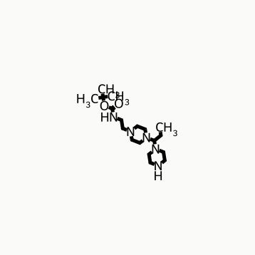 CCC(N1CCNCC1)N1CCN(CCNC(=O)OC(C)(C)C)CC1